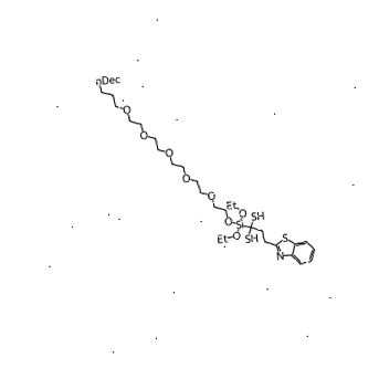 CCCCCCCCCCCCCOCCOCCOCCOCCOCCO[Si](OCC)(OCC)C(S)(S)CCc1nc2ccccc2s1